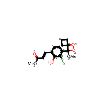 COC(=O)/C=C/c1ccc(C2(OC)OOC23CCC3)c(Cl)c1O